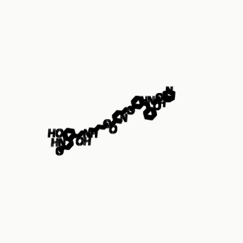 O=C(NC(c1ccccc1)c1cccc(OCc2ccc(C(=O)OCCCCNC[C@@H](O)c3ccc(O)c4[nH]c(=O)ccc34)cn2)c1)O[C@H]1CN2CCC1CC2